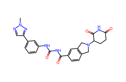 Cn1ncc(-c2cccc(NC(=O)NC(=O)c3ccc4c(c3)CN(C3CCC(=O)NC3=O)C4)c2)n1